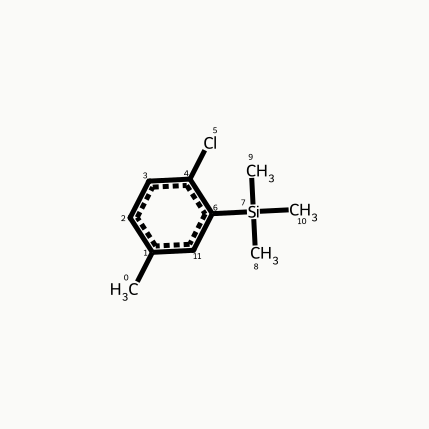 Cc1ccc(Cl)c([Si](C)(C)C)c1